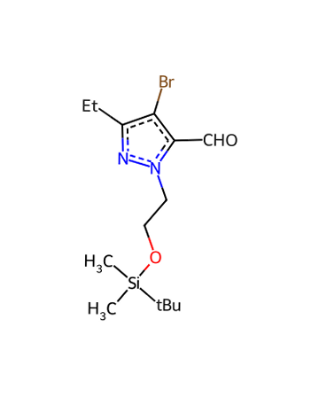 CCc1nn(CCO[Si](C)(C)C(C)(C)C)c(C=O)c1Br